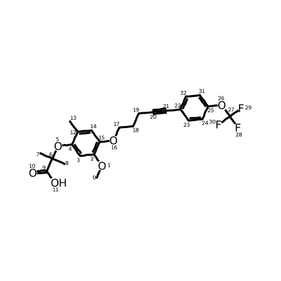 COc1cc(OC(C)(C)C(=O)O)c(C)cc1OCCCC#Cc1ccc(OC(F)(F)F)cc1